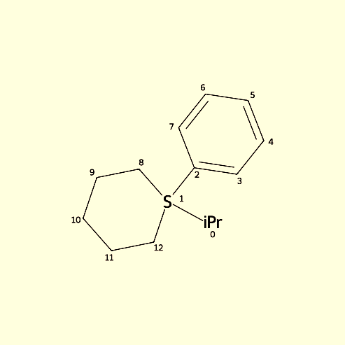 CC(C)S1(c2ccccc2)CCCCC1